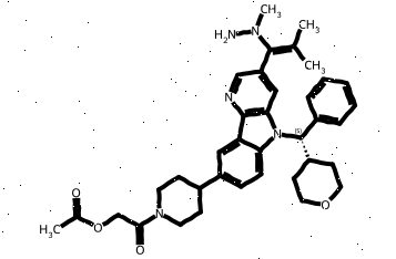 CC(=O)OCC(=O)N1CCC(c2ccc3c(c2)c2ncc(C(=C(C)C)N(C)N)cc2n3[C@H](c2ccccc2)C2CCOCC2)CC1